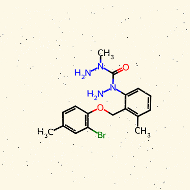 Cc1ccc(OCc2c(C)cccc2N(N)C(=O)N(C)N)c(Br)c1